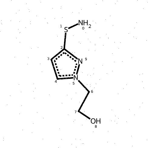 NSc1ccn(CCO)n1